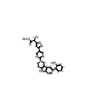 COC(=O)C(c1cc(-c2cnc(N3CCc4[nH]c5nnc(-c6ccccc6O)cc5c4C3)nc2)no1)C(C)C